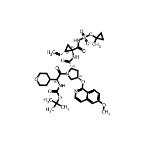 C=C[C@@H]1C[C@]1(NC(=O)[C@@H]1C[C@@H](Oc2nccc3cc(OC)ccc23)CN1C(=O)[C@@H](NC(=O)OC(C)(C)C)C1CCOCC1)C(=O)NS(=O)(=O)OC1(C)CC1